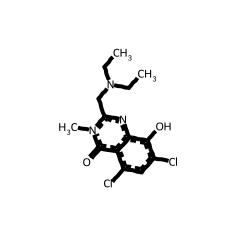 CCN(CC)Cc1nc2c(O)c(Cl)cc(Cl)c2c(=O)n1C